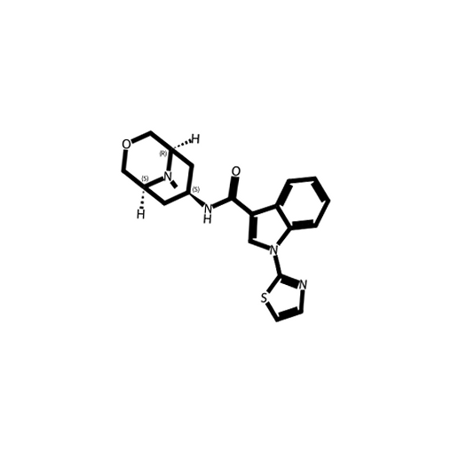 CN1[C@@H]2COC[C@H]1C[C@@H](NC(=O)c1cn(-c3nccs3)c3ccccc13)C2